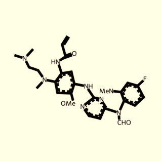 C=CC(=O)Nc1cc(Nc2nccc(N(C=O)c3ccc(F)cc3NC)n2)c(OC)cc1N(C)CCN(C)C